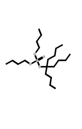 CCCCOP(=O)(OCCCC)OC(CCCC)(CCCC)CCCC